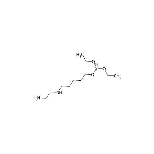 CCO[SiH](OCC)OCCCCCNCCN